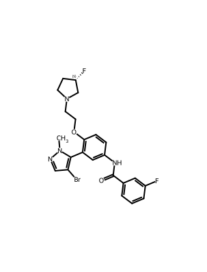 Cn1ncc(Br)c1-c1cc(NC(=O)c2cccc(F)c2)ccc1OCCN1CC[C@H](F)C1